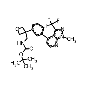 Cn1nc(C(F)(F)F)c2c(-c3cccc(C4(CNC(=O)OC(C)(C)C)COC4)c3)ccnc21